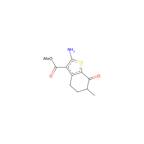 COC(=O)c1c(N)sc2c1CCC(C)C2=O